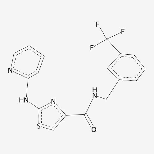 O=C(NCc1cccc(C(F)(F)F)c1)c1csc(Nc2ccccn2)n1